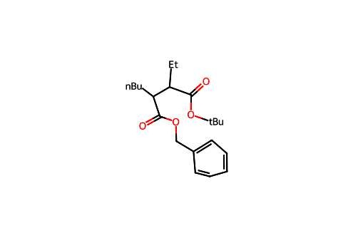 CCCCC(C(=O)OCc1ccccc1)C(CC)C(=O)OC(C)(C)C